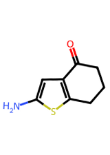 Nc1cc2c(s1)CCCC2=O